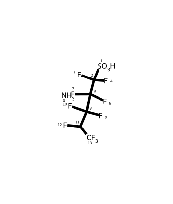 N.O=S(=O)(O)C(F)(F)C(F)(F)C(F)(F)C(F)C(F)(F)F